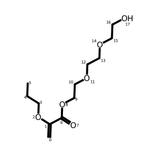 C=C(OCCC)C(=O)OCCOCCOCCO